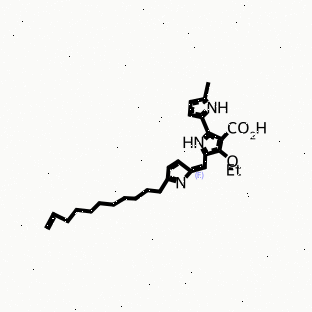 C=CCCCCCCCCCC1=N/C(=C/c2[nH]c(-c3ccc(C)[nH]3)c(C(=O)O)c2OCC)C=C1